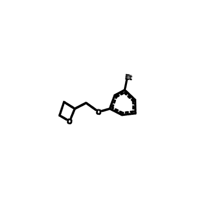 CCc1cccc(OCC2CCO2)c1